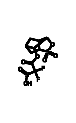 O=C(OC1C2CC3C1OS(=O)(=O)C3C2)C(F)(F)S(=O)O